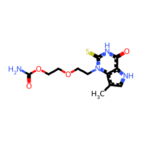 Cc1c[nH]c2c(=O)[nH]c(=S)n(CCOCCOC(N)=O)c12